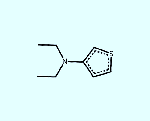 CCN(CC)c1ccsc1